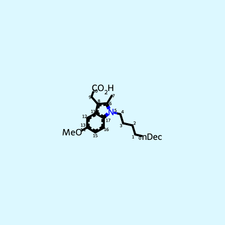 CCCCCCCCCCCCCCn1c(C)c(CC(=O)O)c2cc(OC)ccc21